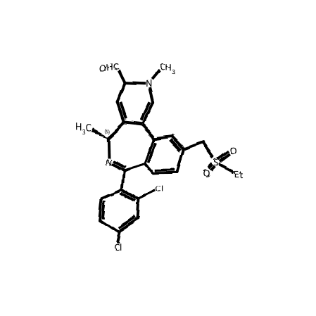 CCS(=O)(=O)Cc1ccc2c(c1)C1=CN(C)C(C=O)C=C1[C@H](C)N=C2c1ccc(Cl)cc1Cl